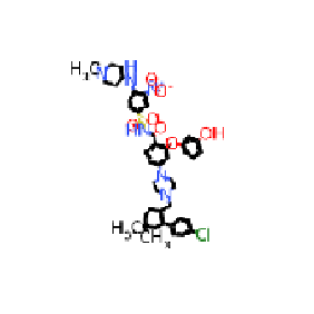 CN1CCC(Nc2ccc(S(=O)(=O)NC(=O)c3ccc(N4CCN(CC5=C(c6ccc(Cl)cc6)CC(C)(C)CC5)CC4)cc3Oc3cccc(O)c3)cc2[N+](=O)[O-])CC1